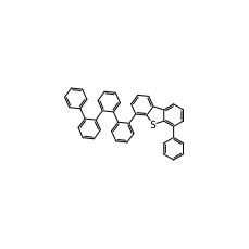 c1ccc(-c2ccccc2-c2ccccc2-c2ccccc2-c2cccc3c2sc2c(-c4ccccc4)cccc23)cc1